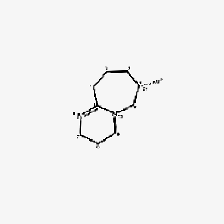 C[C@H]1CCCC2=NCCCN2C1